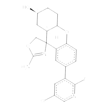 NC1=NC2(CO1)c1cc(-c3cc(Cl)cnc3F)ccc1OC1CC[C@H](O)C[C@@H]12